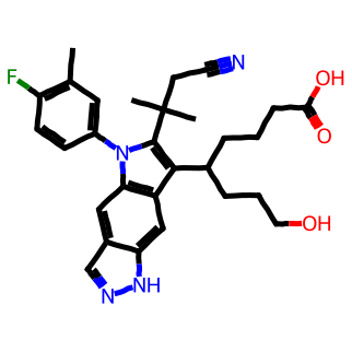 Cc1cc(-n2c(C(C)(C)CC#N)c(C(CCCO)CCCC(=O)O)c3cc4[nH]ncc4cc32)ccc1F